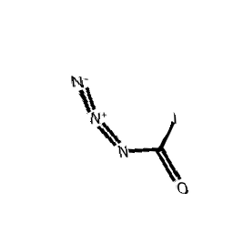 [N-]=[N+]=NC(=O)I